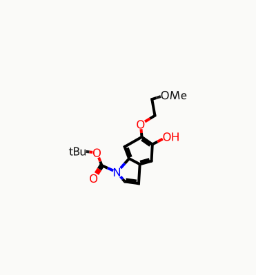 COCCOc1cc2c(ccn2C(=O)OC(C)(C)C)cc1O